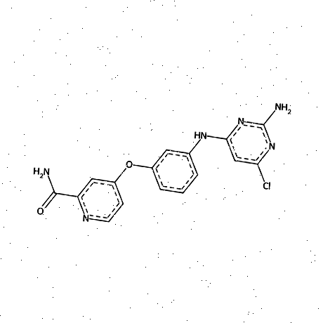 NC(=O)c1cc(Oc2cccc(Nc3cc(Cl)nc(N)n3)c2)ccn1